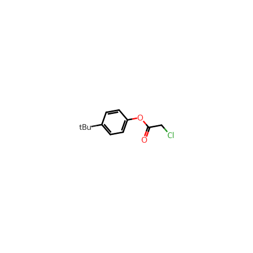 CC(C)(C)c1ccc(OC(=O)CCl)cc1